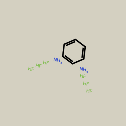 F.F.F.F.F.F.N.N.c1ccccc1